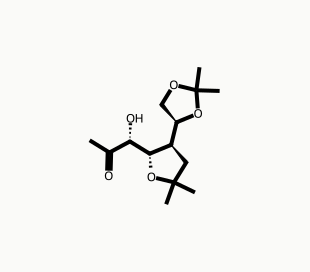 CC(=O)[C@H](O)[C@H]1OC(C)(C)C[C@@H]1[C@H]1COC(C)(C)O1